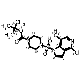 Cc1cnc(Cl)c2ccn(S(=O)(=O)N3CCN(C(=O)OC(C)(C)C)CC3)c12